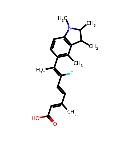 CC(C=CC(F)=C(C)c1ccc2c(c1C)C(C)C(C)N2C)=CC(=O)O